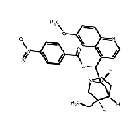 CC[C@H]1CN2CC[C@H]1C[C@H]2[C@H](OC(=O)c1ccc([N+](=O)[O-])cc1)c1ccnc2ccc(OC)cc12